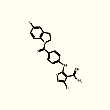 N=C(N)c1c(O)nsc1Nc1ccc(C(=O)N2CCc3cc(Br)ccc32)cc1